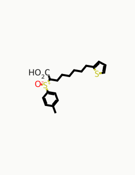 Cc1ccc([S+]([O-])C(CCCCCCc2cccs2)C(=O)O)cc1